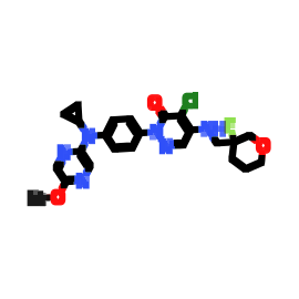 CCOc1cnc(N(c2ccc(-n3ncc(NCC4(F)CCCOC4)c(Cl)c3=O)cc2)C2CC2)cn1